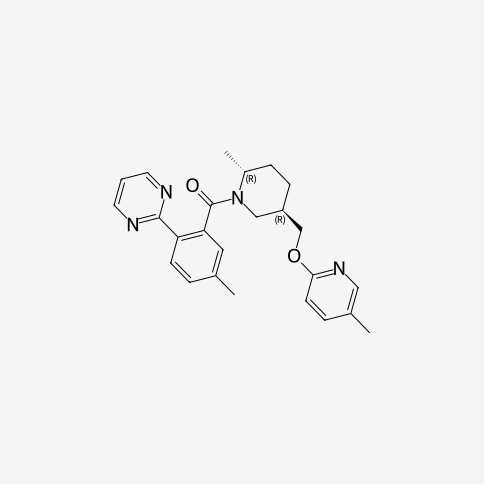 Cc1ccc(OC[C@@H]2CC[C@@H](C)N(C(=O)c3cc(C)ccc3-c3ncccn3)C2)nc1